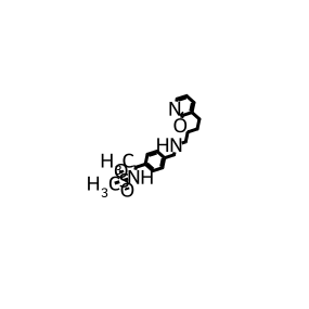 C[C@@H](NS(C)(=O)=O)c1ccc(CNCC2CCc3cccnc3O2)cc1